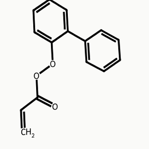 C=CC(=O)OOc1ccccc1-c1ccccc1